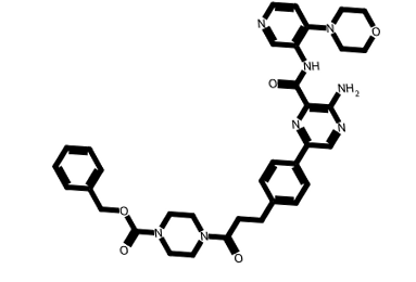 Nc1ncc(-c2ccc(CCC(=O)N3CCN(C(=O)OCc4ccccc4)CC3)cc2)nc1C(=O)Nc1cnccc1N1CCOCC1